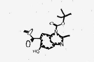 COC(=O)c1cc2c(cc1O)nc(C)n2C(=O)OC(C)(C)C